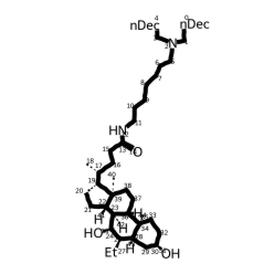 CCCCCCCCCCCN(CCCCCCCCCCC)CCCCCCCNC(=O)CC[C@@H](C)[C@H]1CC[C@H]2[C@@H]3[C@H](O)[C@H](CC)[C@@H]4C[C@H](O)CC[C@]4(C)[C@H]3CC[C@]12C